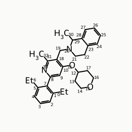 CCc1cccc(CC)c1-c1cc(OC2CCOCC2)c(CN2CCc3ccccc3C2C)c(C)n1